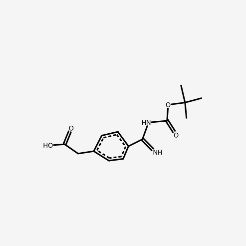 CC(C)(C)OC(=O)NC(=N)c1ccc(CC(=O)O)cc1